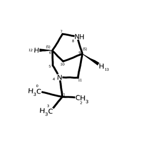 CC(C)(C)N1C[C@@H]2CN[C@@H](C2)C1